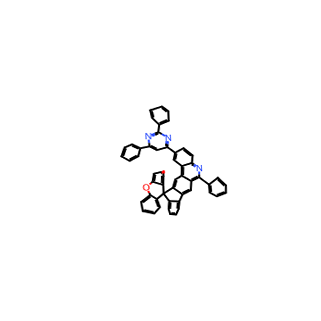 c1ccc(-c2cc(-c3ccc4nc(-c5ccccc5)c5cc6c(cc5c4c3)C3(c4ccccc4Oc4ccccc43)c3ccccc3-6)nc(-c3ccccc3)n2)cc1